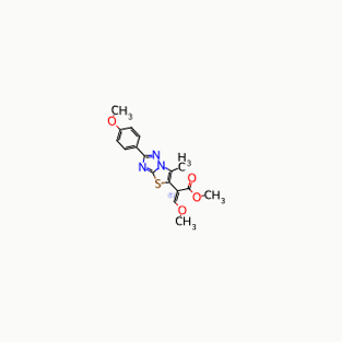 CO/C=C(\C(=O)OC)c1sc2nc(-c3ccc(OC)cc3)nn2c1C